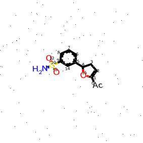 CC(=O)C1=CCC(c2cccc(S(N)(=O)=O)c2)O1